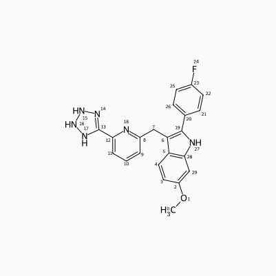 COc1ccc2c(Cc3cccc(C4=NNNN4)n3)c(-c3ccc(F)cc3)[nH]c2c1